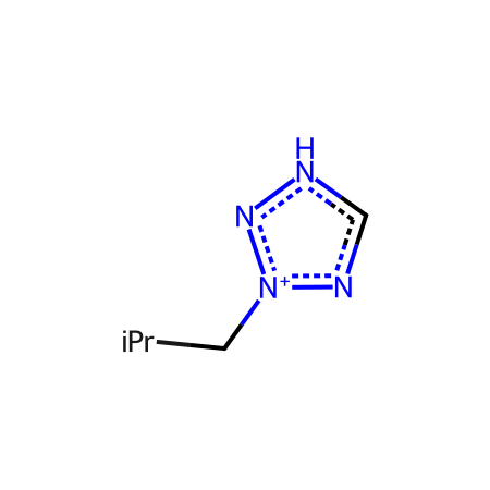 CC(C)C[n+]1nc[nH]n1